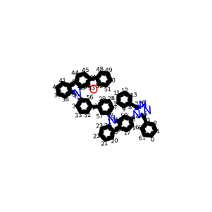 c1ccc(-c2nnc(-c3ccccc3)n2-c2ccc3c4ccccc4n(-c4cccc(-c5cccc(-n6c7ccccc7c7ccc8c9ccccc9oc8c76)c5)c4)c3c2)cc1